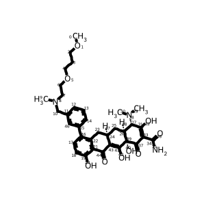 COCCCOCCN(C)Cc1cccc(-c2ccc(O)c3c2C[C@H]2C[C@H]4[C@H](N(C)C)C(O)=C(C(N)=O)C(=O)[C@@]4(O)C(O)=C2C3=O)c1